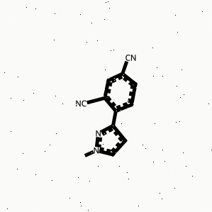 Cn1[c]cc(-c2ccc(C#N)cc2C#N)n1